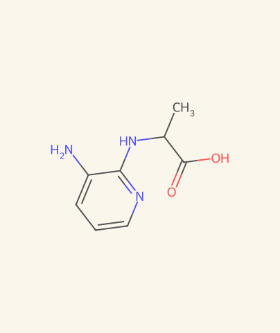 CC(Nc1ncccc1N)C(=O)O